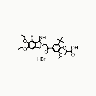 Br.CCOc1cc2c(c(F)c1OCC)C(=N)N(CC(=O)c1cc(OC)c(OC(C)C(=O)O)c(C(C)(C)C)c1)C2